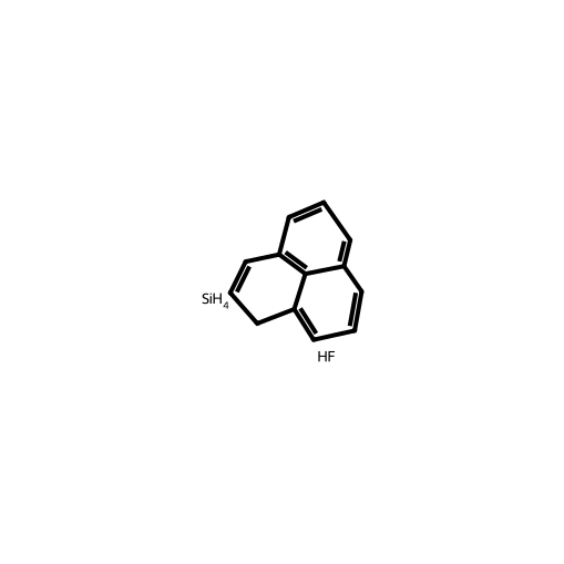 C1=Cc2cccc3cccc(c23)C1.F.[SiH4]